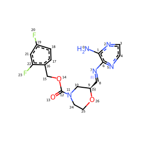 Nc1nccnc1/N=C/[C@@H]1CN(C(=O)OCc2ccc(F)cc2F)CCO1